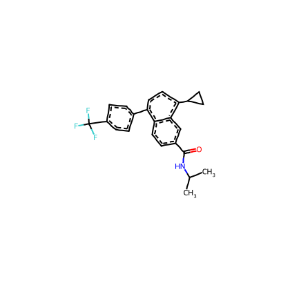 CC(C)NC(=O)c1ccc2c(-c3ccc(C(F)(F)F)cc3)ccc(C3CC3)c2c1